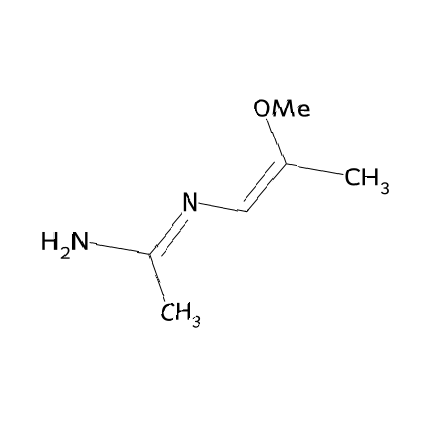 CO/C(C)=C\N=C(/C)N